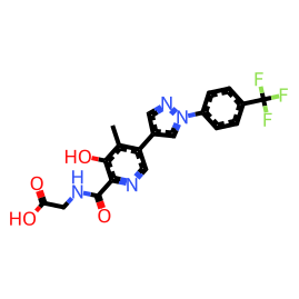 Cc1c(-c2cnn(-c3ccc(C(F)(F)F)cc3)c2)cnc(C(=O)NCC(=O)O)c1O